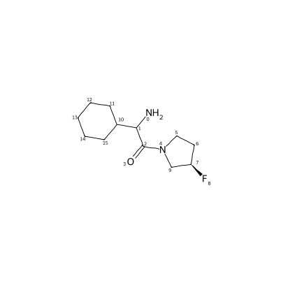 NC(C(=O)N1CC[C@@H](F)C1)C1CCCCC1